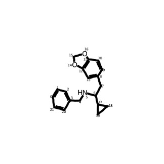 c1ccc(CNC(Cc2ccc3c(c2)OCO3)C2CC2)cc1